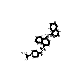 CCCC(=O)N1CCC(NS(=O)(=O)c2ccc(Nc3nccc4ccccc34)c3ccccc23)CC1